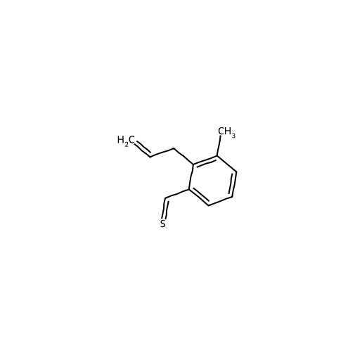 C=CCc1c(C)cccc1C=S